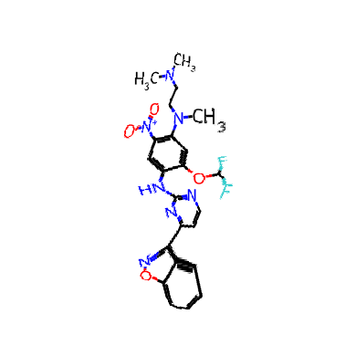 CN(C)CCN(C)c1cc(OC(F)F)c(Nc2nccc(-c3noc4ccccc34)n2)cc1[N+](=O)[O-]